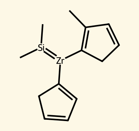 CC1=[C]([Zr]([C]2=CC=CC2)=[Si](C)C)CC=C1